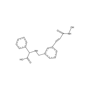 O=C(/C=C/c1cccc(CNC(C(=O)O)c2ccccc2)c1)NO